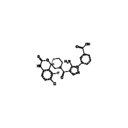 Nc1c(C(=O)N2CCC[C@@]3(C2)OC(=O)Nc2ccc(Cl)c(F)c23)cnn1-c1cccc(C(=O)O)c1